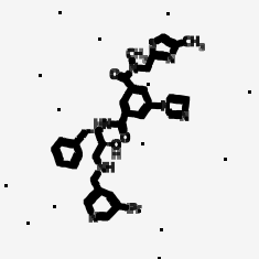 Cc1csc(CN(C)C(=O)c2cc(C(=O)N[C@@H](Cc3ccccc3)[C@H](O)CNCc3cncc(C(C)C)c3)cc(-n3ccnc3)c2)n1